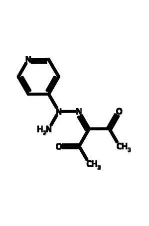 CC(=O)C(=NN(N)c1ccncc1)C(C)=O